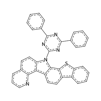 c1ccc(-c2nc(-c3ccccc3)nc(-n3c4ccc5cccnc5c4c4ccc5c6ccccc6sc5c43)n2)cc1